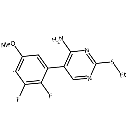 CCSc1ncc(-c2cc(OC)[c]c(F)c2F)c(N)n1